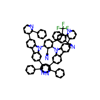 N#Cc1cc(-c2ccc(-n3c4cc(-c5cccnc5-c5ccccc5)ccc4c4ccc(-c5cccnc5-c5ccccc5)cc43)c(C#N)c2-n2c3cc(-c4cccnc4-c4ccccc4)ccc3c3ccc(-c4cccnc4-c4ccccc4)cc32)cc(C(F)(F)F)c1